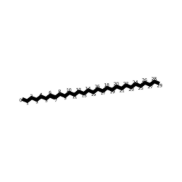 [CH2]CCCCC/C=C/CCCCCCCCCCCCCCCCCCCCCC